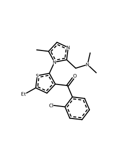 CCc1cc(C(=O)c2ccccc2Cl)c(-n2c(C)cnc2CN(C)C)s1